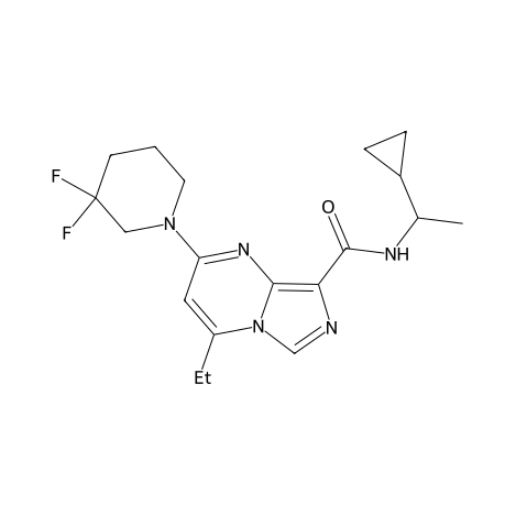 CCc1cc(N2CCCC(F)(F)C2)nc2c(C(=O)NC(C)C3CC3)ncn12